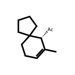 CC(=O)[C@@H]1C(C)=C[CH]CC12CCCC2